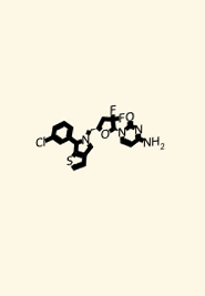 Nc1ccn([C@@H]2O[C@H](CN3Cc4ccsc4C3c3cccc(Cl)c3)CC2(F)F)c(=O)n1